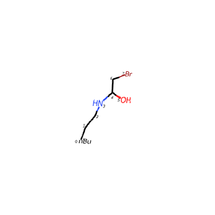 CCCCCCNC(O)CBr